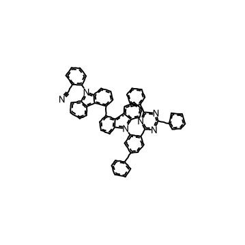 N#Cc1ccccc1-n1c2ccccc2c2c(-c3cccc4c3c3ccccc3n4-c3cc(-c4ccccc4)ccc3-c3nc(-c4ccccc4)nc(-c4ccccc4)n3)cccc21